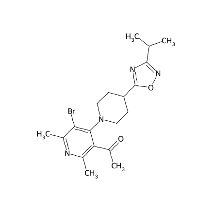 CC(=O)c1c(C)nc(C)c(Br)c1N1CCC(c2nc(C(C)C)no2)CC1